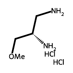 COC[C@@H](N)CN.Cl.Cl